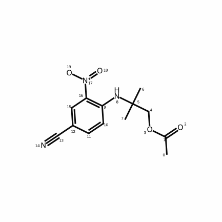 CC(=O)OCC(C)(C)Nc1ccc(C#N)cc1[N+](=O)[O-]